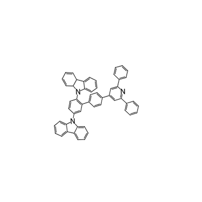 C1=CC2c3ccccc3N(c3ccc(-n4c5ccccc5c5ccccc54)cc3-c3ccc(-c4cc(-c5ccccc5)nc(-c5ccccc5)c4)cc3)C2C=C1